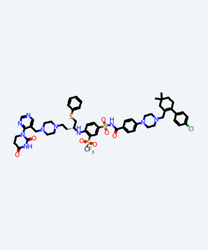 CC1(C)CCC(c2ccc(Cl)cc2)=C(CN2CCN(c3ccc(C(=O)NS(=O)(=O)c4ccc(N[C@H](CCN5CCN(Cc6cncnc6N6CCC(=O)NC6=O)CC5)CSc5ccccc5)c(S(=O)(=O)C(F)(F)F)c4)cc3)CC2)C1